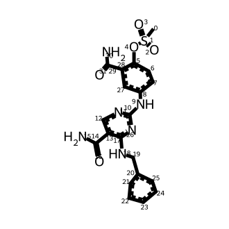 CS(=O)(=O)Oc1ccc(Nc2ncc(C(N)=O)c(NCc3ccccc3)n2)cc1C(N)=O